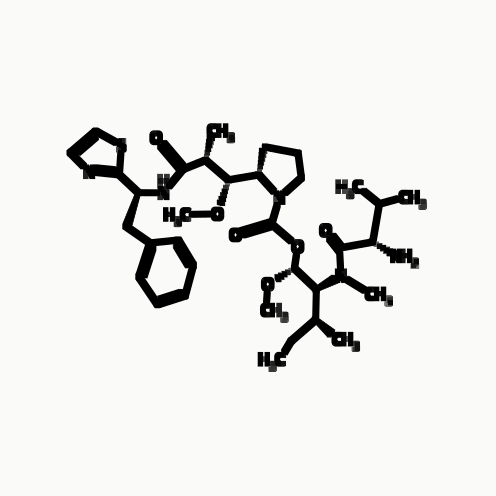 CC[C@H](C)[C@@H]([C@H](OC)OC(=O)N1CCC[C@H]1[C@H](OC)[C@@H](C)C(=O)N[C@@H](Cc1ccccc1)c1nccs1)N(C)C(=O)[C@@H](N)C(C)C